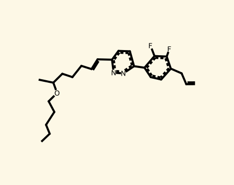 C=CCc1ccc(-c2ccc(/C=C/CCCC(C)OCCCCC)nn2)c(F)c1F